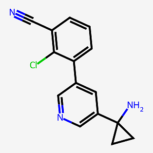 N#Cc1cccc(-c2cncc(C3(N)CC3)c2)c1Cl